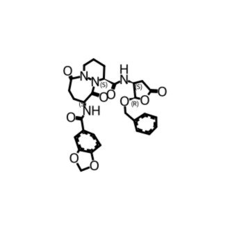 O=C1C[C@H](NC(=O)[C@@H]2CCCN3C(=O)CC[C@H](NC(=O)c4ccc5c(c4)OCO5)C(=O)N23)[C@H](OCc2ccccc2)O1